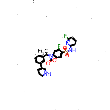 C[C@H](c1cccc(C2=CCCNC2)c1)n1c(=O)oc2cc(S(=O)(=O)Nc3cccc(F)n3)c(F)cc21